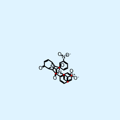 O=C1C=CC2C3C(=O)N(c4ccccc4)C(=O)C3C1N2C(=Cc1cccc([N+](=O)[O-])c1)c1cccc([N+](=O)[O-])c1